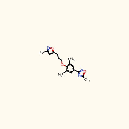 CCc1cc(CCCOc2c(C)cc(-c3noc(C(F)(F)F)n3)cc2C)on1